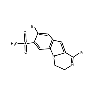 CCc1cc2cc3n(c2cc1S(C)(=O)=O)CCN=C3C(C)C